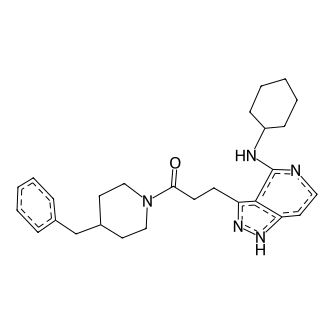 O=C(CCc1n[nH]c2ccnc(NC3CCCCC3)c12)N1CCC(Cc2ccccc2)CC1